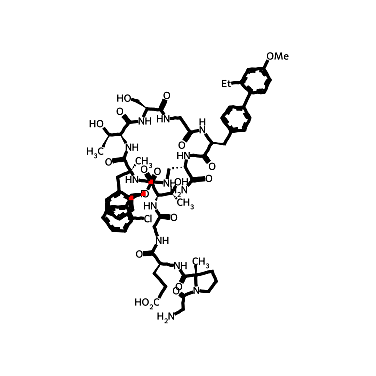 CCc1cc(OC)ccc1-c1ccc(C[C@H](NC(=O)CNC(=O)[C@H](CO)NC(=O)[C@@H](NC(=O)[C@](C)(Cc2ccccc2F)NC(=O)[C@@H](NC(=O)CNC(=O)[C@H](CCC(=O)O)NC(=O)[C@]2(C)CCCN2C(=O)CN)[C@@H](C)O)[C@@H](C)O)C(=O)N[C@@H](CNC(=O)OCc2ccccc2Cl)C(N)=O)cc1